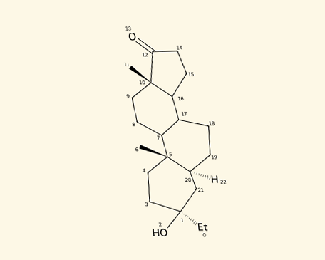 CC[C@]1(O)CC[C@]2(C)C3CC[C@]4(C)C(=O)CCC4C3CC[C@H]2C1